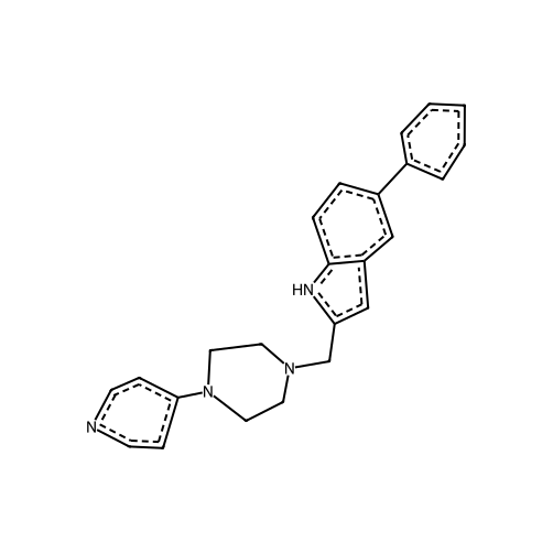 c1ccc(-c2ccc3[nH]c(CN4CCN(c5ccncc5)CC4)cc3c2)cc1